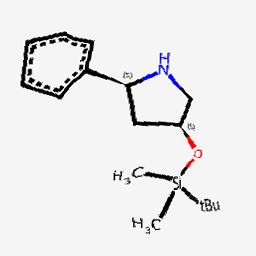 CC(C)(C)[Si](C)(C)O[C@@H]1CN[C@H](c2ccccc2)C1